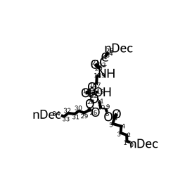 CCCCCCCCCCCCCCCC(=O)OC[C@H](COP(=O)(O)OCCNC(=O)CCCCCCCCCCCCC)OC(=O)CCCCCCCCCCCCCCC